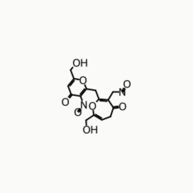 O=NCC1=C(Cc2oc(CO)cc(=O)c2N=O)OC(CO)=CCC1=O